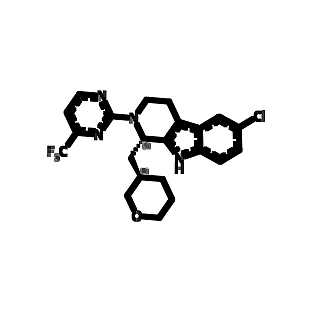 FC(F)(F)c1ccnc(N2CCc3c([nH]c4ccc(Cl)cc34)[C@@H]2C[C@H]2CCCOC2)n1